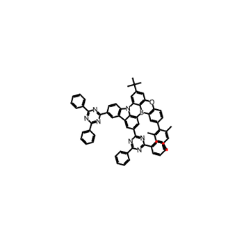 Cc1cc(C)c(-c2ccc3c(c2)B2c4c(cc(C(C)(C)C)cc4-n4c5ccc(-c6nc(-c7ccccc7)nc(-c7ccccc7)n6)cc5c5cc(-c6nc(-c7ccccc7)nc(-c7ccccc7)n6)cc2c54)O3)c(C)c1